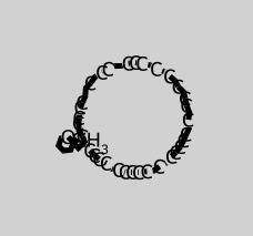 [SiH3]C1(CC2CCCCCCCCCCCCCCCCCCCCCCCCCCCCCCCCCCCCCCCCCCCCCCC2)CCCCO1